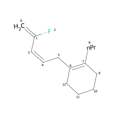 C=C(F)/C=C\CC1=C(CCC)CCCC1